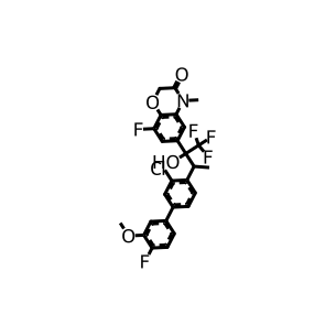 COc1cc(-c2ccc(C(C)C(O)(c3cc(F)c4c(c3)N(C)C(=O)CO4)C(F)(F)F)c(Cl)c2)ccc1F